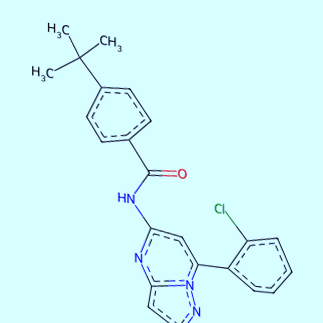 CC(C)(C)c1ccc(C(=O)Nc2cc(-c3ccccc3Cl)n3nccc3n2)cc1